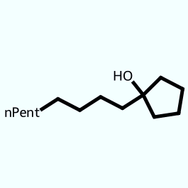 CCCCCCCCCC1(O)CCCC1